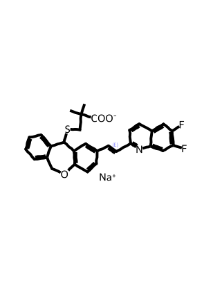 CC(C)(CSC1c2ccccc2COc2ccc(/C=C/c3ccc4cc(F)c(F)cc4n3)cc21)C(=O)[O-].[Na+]